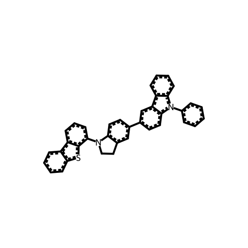 c1ccc(-n2c3ccccc3c3cc(-c4ccc5c(c4)CCN5c4cccc5c4sc4ccccc45)ccc32)cc1